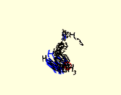 C[C@@H]1CCCN1CCc1ccc(-c2ccc3c(c2)CCN(C(=O)C(C)(C)c2nnn[nH]2)C3)cc1